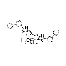 CC1(C)c2cc3sc(-c4cccc(-c5ccccc5)c4)nc3cc2-c2cc3nc(-c4cccc(-c5ccccc5)c4)sc3cc21